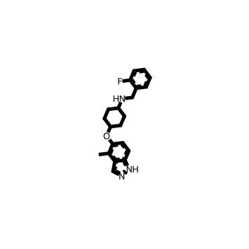 Cc1c(OC2CCC(NCc3ccccc3F)CC2)ccc2[nH]ncc12